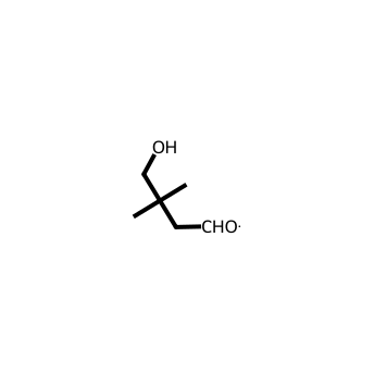 CC(C)(CO)C[C]=O